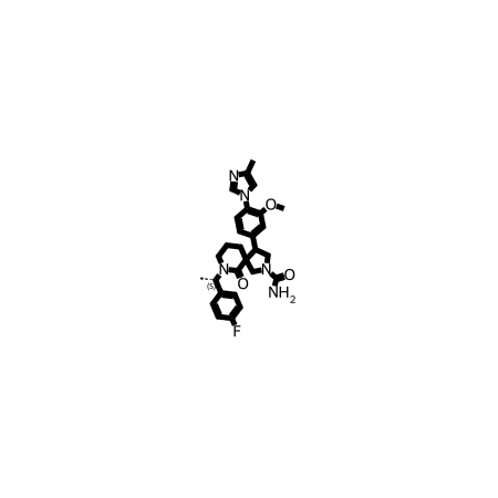 COc1cc(C2CN(C(N)=O)CC23CCCN([C@@H](C)c2ccc(F)cc2)C3=O)ccc1-n1cnc(C)c1